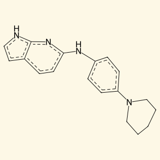 c1cc2ccc(Nc3ccc(N4CCCCC4)cc3)nc2[nH]1